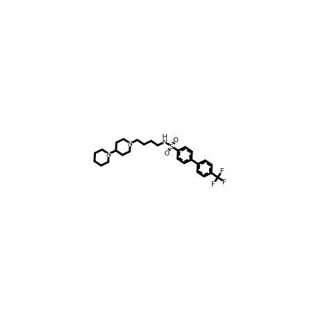 O=S(=O)(NCCCCN1CCC(N2CCCCC2)CC1)c1ccc(-c2ccc(C(F)(F)F)cc2)cc1